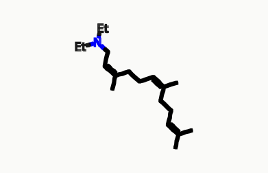 CCN(CC)CC=C(C)CCC=C(C)CCC=C(C)C